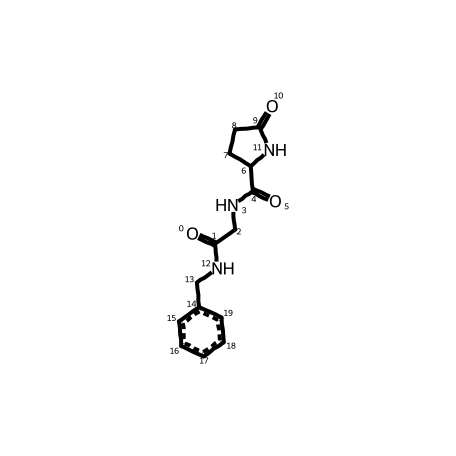 O=C(CNC(=O)C1CCC(=O)N1)NCc1ccccc1